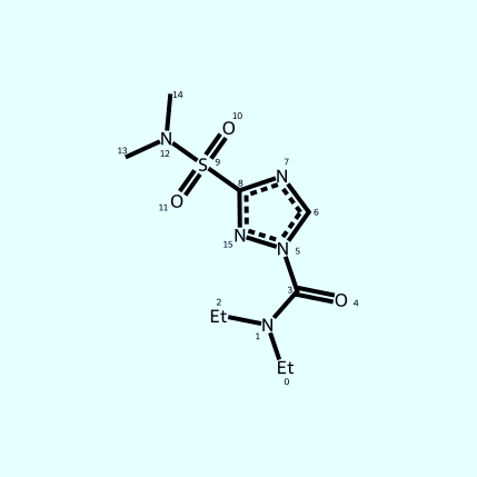 CCN(CC)C(=O)n1cnc(S(=O)(=O)N(C)C)n1